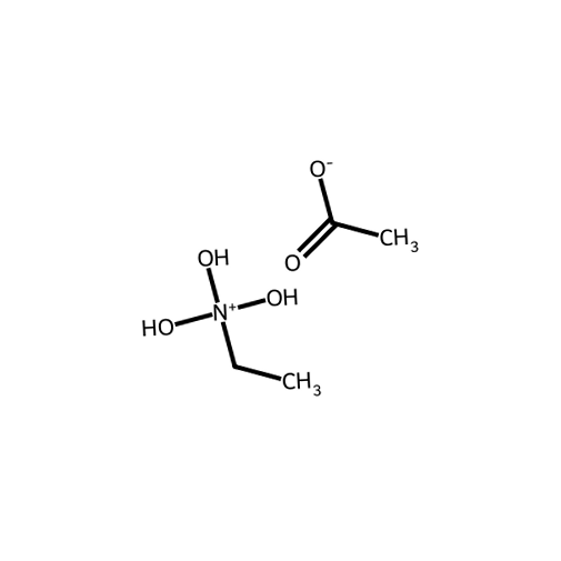 CC(=O)[O-].CC[N+](O)(O)O